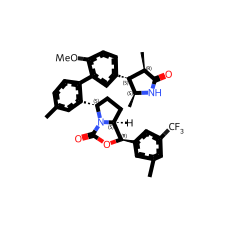 COc1ccc([C@H]2[C@H](C)NC(=O)[C@@H]2C)cc1-c1ccc(C)cc1[C@@H]1CC[C@H]2[C@@H](c3cc(C)cc(C(F)(F)F)c3)OC(=O)N12